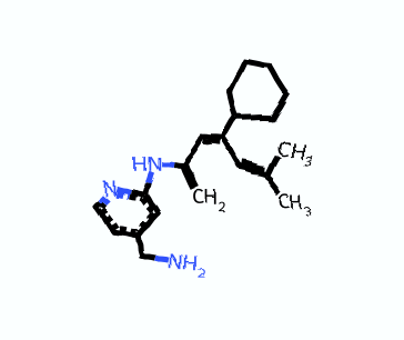 C=C(/C=C(\C=C(C)C)C1CCCCC1)Nc1cc(CN)ccn1